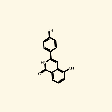 N#Cc1cccc2c(=O)[nH]c(-c3ccc(O)cc3)cc12